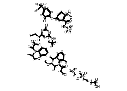 CC1COc2ccccc2N1C(=O)C(Cl)Cl.CCNc1nc(Cl)nc(NC(C)(C)C)n1.CCc1cccc(C)c1N(C(=O)CCl)C(C)COC.CS(=O)(=O)NC(=O)c1cc(Oc2ccc(C(F)(F)F)cc2Cl)ccc1[N+](=O)[O-].C[S+](C)C.O=C(O)CNCP(=O)([O-])O